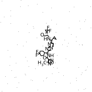 Cc1nonc1C(=O)N[C@H](c1cn2ccc([C@H](NCC(C=O)[C@@H]3CC3(F)F)C3CC3)nc2n1)C1CCC(F)(F)CC1